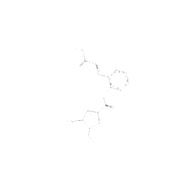 CC1CC(C(=O)Oc2ccccc2/C=C/C(N)=O)CC1N